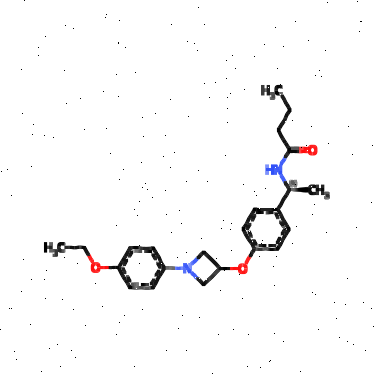 CCCC(=O)N[C@@H](C)c1ccc(OC2CN(c3ccc(OCC)cc3)C2)cc1